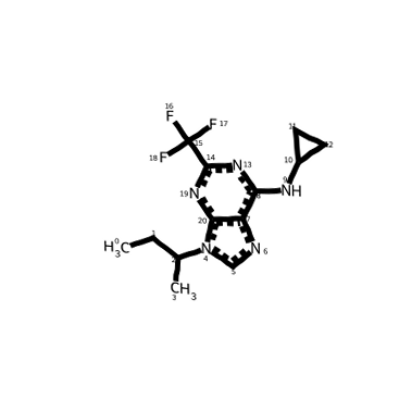 CCC(C)n1cnc2c(NC3CC3)nc(C(F)(F)F)nc21